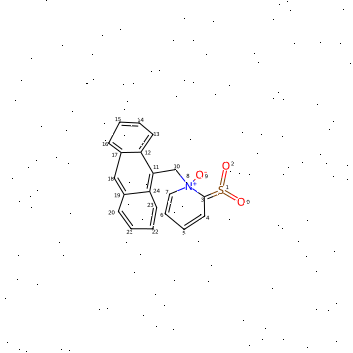 O=S(=O)=C1C=CC=C[N+]1([O-])Cc1c2ccccc2cc2ccccc12